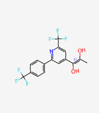 C/C(O)=C(\O)c1cc(-c2ccc(C(F)(F)F)cc2)nc(C(F)(F)F)c1